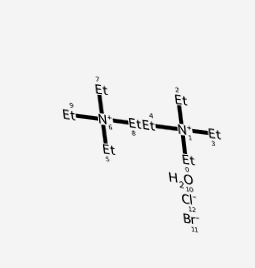 CC[N+](CC)(CC)CC.CC[N+](CC)(CC)CC.O.[Br-].[Cl-]